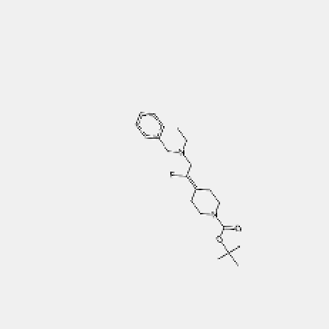 CCN(CC(F)=C1CCN(C(=O)OC(C)(C)C)CC1)Cc1ccccc1